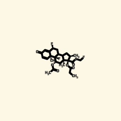 CCC(=O)O[C@]1(C(=O)SCF)[C@H](C)CC2C3C[C@H](F)C4=CC(=O)C=C[C@]4(C)[C@@]3(F)[C@@H](OC(C)=O)C[C@@]21C